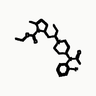 CCOC(=O)N1C(C)CCC1CC(CC)N1CCC(N(C(C)=O)c2ccccc2F)CC1